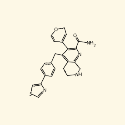 NC(=O)c1nc2c(c(Cc3ccc(-c4cscn4)cc3)c1C1=CCOC=C1)CCNC2